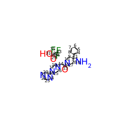 NCC1(c2ccccc2)CCN(C(=O)CN2CCN(c3cnccn3)CC2)CC1.O=C(O)C(F)(F)F